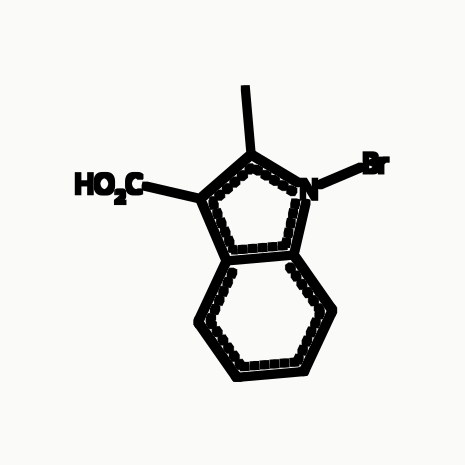 Cc1c(C(=O)O)c2ccccc2n1Br